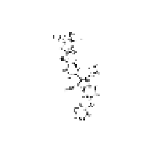 C[C@@H](OC(=O)Nc1ccc(-c2c(C#N)c3cc(OC4COCOC4)ccc3n2C2CCC2)cc1)C(F)(F)F